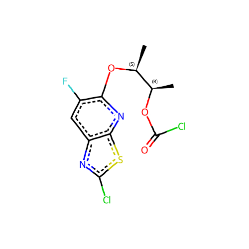 C[C@H](Oc1nc2sc(Cl)nc2cc1F)[C@@H](C)OC(=O)Cl